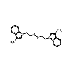 Cc1cn(CCSSCCn2cc(C)c3ccccc32)c2ccccc12